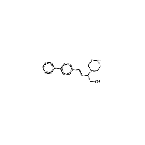 OCC(/C=C/c1ccc(-c2ccccc2)cc1)N1CCNCC1